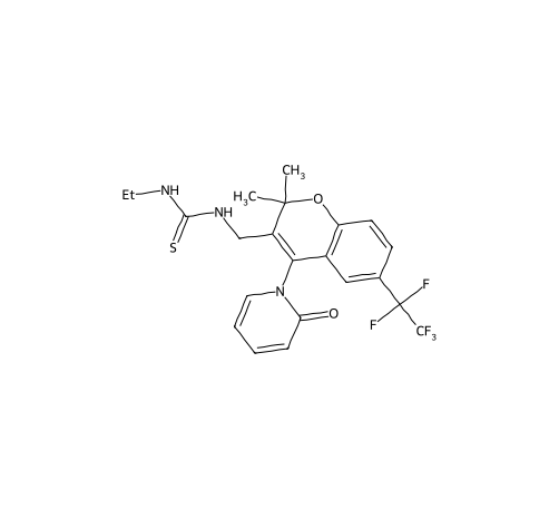 CCNC(=S)NCC1=C(n2ccccc2=O)c2cc(C(F)(F)C(F)(F)F)ccc2OC1(C)C